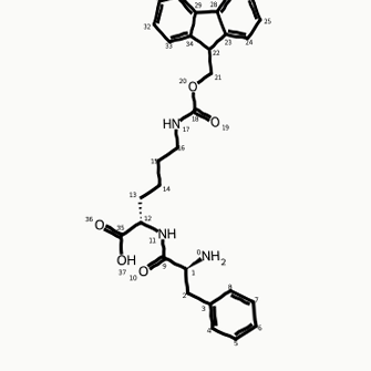 N[C@@H](Cc1ccccc1)C(=O)N[C@@H](CCCCNC(=O)OCC1c2ccccc2-c2ccccc21)C(=O)O